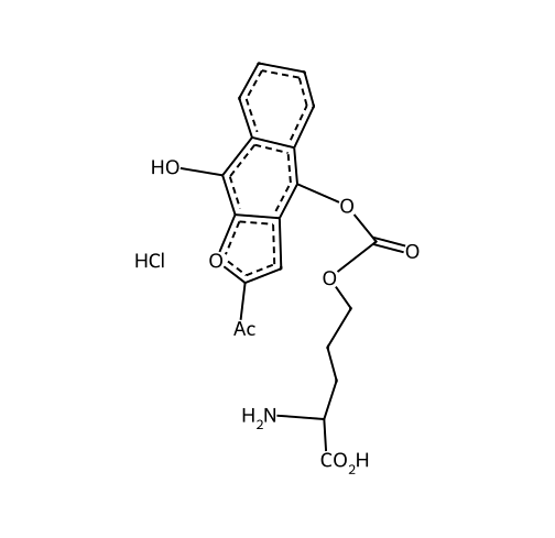 CC(=O)c1cc2c(OC(=O)OCCCC(N)C(=O)O)c3ccccc3c(O)c2o1.Cl